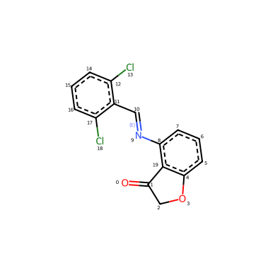 O=C1COc2cccc(/N=C/c3c(Cl)cccc3Cl)c21